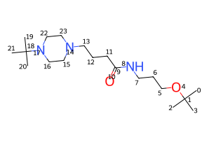 CC(C)(C)OCCCNC(=O)CCCN1CCN(C(C)(C)C)CC1